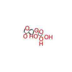 O=c1ccoc2cc(O[C@H]3O[C@H](CO)[C@@H](O)[C@@H]3O)ccc12